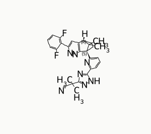 CC(C)(C#N)c1n[nH]c(-c2cccc([C@@]34CC[C@@H](c5cc(-c6c(F)cccc6F)nnc53)C4(C)C)n2)n1